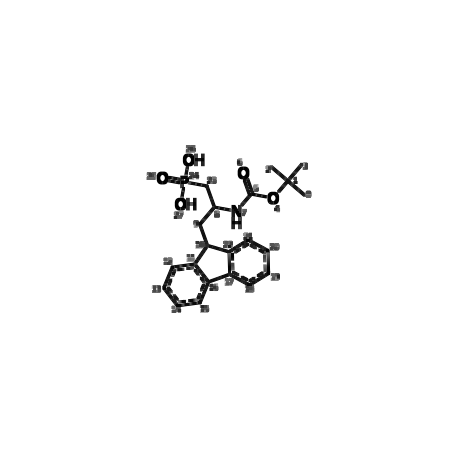 CC(C)(C)OC(=O)NC(CC1c2ccccc2-c2ccccc21)CP(=O)(O)O